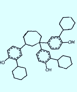 Oc1ccc(C2CCCCC(c3ccc(O)c(C4CCCCC4)c3)(c3ccc(O)c(C4CCCCC4)c3)C2)cc1C1CCCCC1